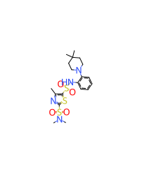 Cc1nc(S(=O)(=O)N(C)C)sc1S(=O)(=O)Nc1ccccc1N1CCC(C)(C)CC1